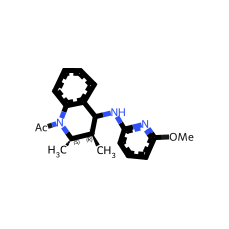 COc1cccc(NC2c3ccccc3N(C(C)=O)[C@@H](C)[C@@H]2C)n1